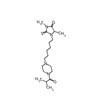 CC(C)C(=O)N1CCN(CCCCCCN2C(=S)N(C)C(=O)C2C)CC1